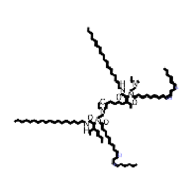 CCCCC/C=C\C/C=C\CCCCCCCC(=O)N(CCN(C)CC)C(C(=O)NCCCCCCCCCCCCCCCCCC)C(CC)CCCCC1CN(CCN(C(=O)CCCCCCC/C=C\C/C=C\CCCCC)C(C(=O)NCCCCCCCCCCCCCCCCCC)C(CC)CCCC)CCO1